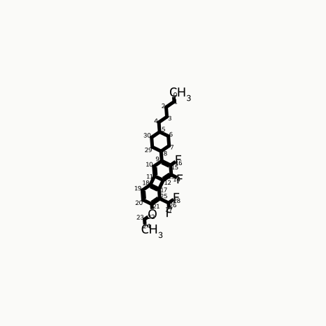 CCCCCC1CCC(c2cc3c(c(F)c2F)-c2c-3ccc(OCC)c2C(F)F)CC1